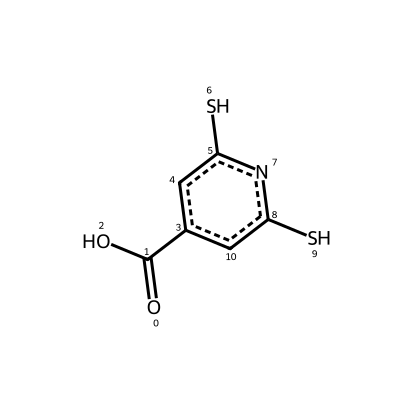 O=C(O)c1cc(S)nc(S)c1